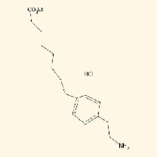 CCOC(=O)CCCCCCCc1ccc(CCN)cc1.Cl